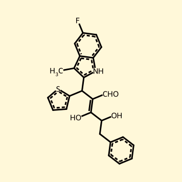 Cc1c(C(/C(C=O)=C(\O)C(O)Cc2ccccc2)c2cccs2)[nH]c2ccc(F)cc12